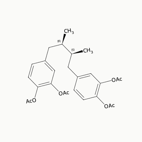 CC(=O)Oc1ccc(C[C@@H](C)[C@@H](C)Cc2ccc(OC(C)=O)c(OC(C)=O)c2)cc1OC(C)=O